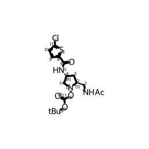 CC(=O)NC[C@@H]1C[C@@H](NC(=O)c2ccc(Cl)s2)CN1OC(=O)OC(C)(C)C